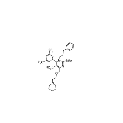 CSC1=NC(COCCN2CCCCC2)=C(C(=O)O)C(c2cc(C(F)(F)F)cc(C(F)(F)F)c2)N1CCCc1ccccc1